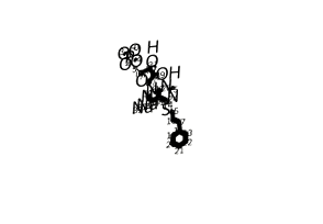 O=P([O-])([O-])OC[C@H]1O[C@@H](n2ncc3c(SCC=Cc4ccccc4)ncnc32)[C@H](O)[C@@H]1O.[Na+].[Na+]